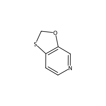 c1cc2c(cn1)OCS2